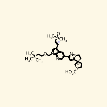 C[Si](C)(C)CCOCn1cc(/C=C/P(C)(C)=O)c2cc(-c3cc4n(n3)CC[C@]43CCN(C(=O)O)C3)cnc21